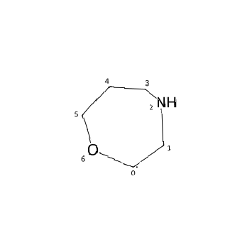 [CH]1CNCCCO1